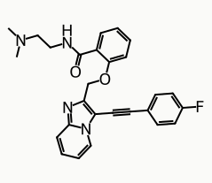 CN(C)CCNC(=O)c1ccccc1OCc1nc2ccccn2c1C#Cc1ccc(F)cc1